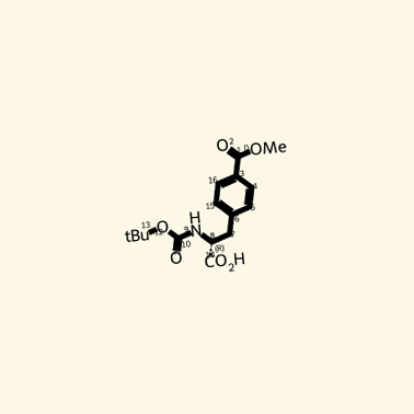 COC(=O)c1ccc(C[C@@H](NC(=O)OC(C)(C)C)C(=O)O)cc1